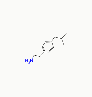 CC(C)Cc1ccc([CH]CN)cc1